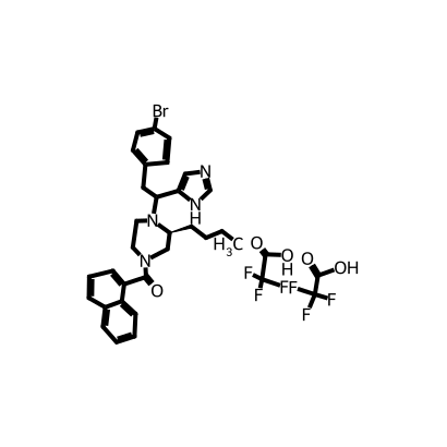 CCCC[C@H]1CN(C(=O)c2cccc3ccccc23)CCN1C(Cc1ccc(Br)cc1)c1cnc[nH]1.O=C(O)C(F)(F)F.O=C(O)C(F)(F)F